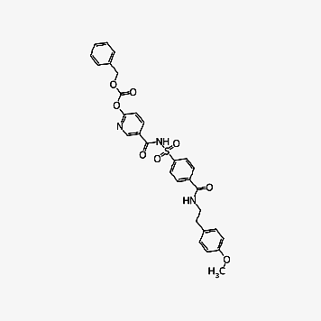 COc1ccc(CCNC(=O)c2ccc(S(=O)(=O)NC(=O)c3ccc(OC(=O)OCc4ccccc4)nc3)cc2)cc1